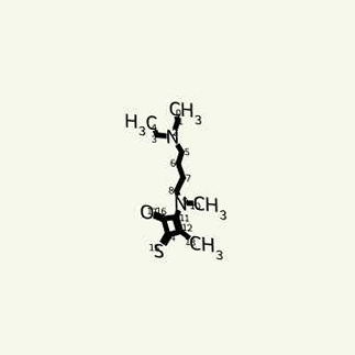 CCN(CC)CCCCN(C)c1c(C)c(=S)c1=O